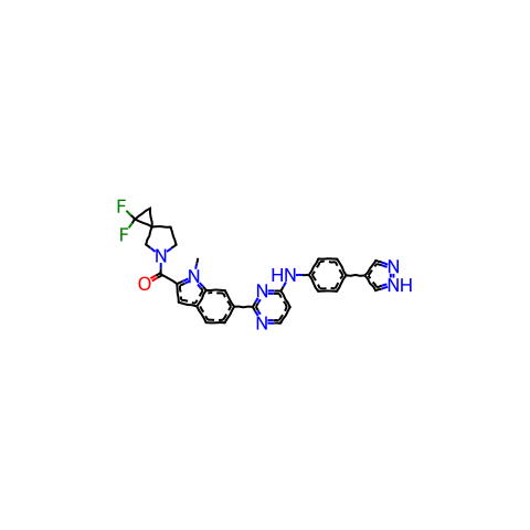 Cn1c(C(=O)N2CCC3(C2)CC3(F)F)cc2ccc(-c3nccc(Nc4ccc(-c5cn[nH]c5)cc4)n3)cc21